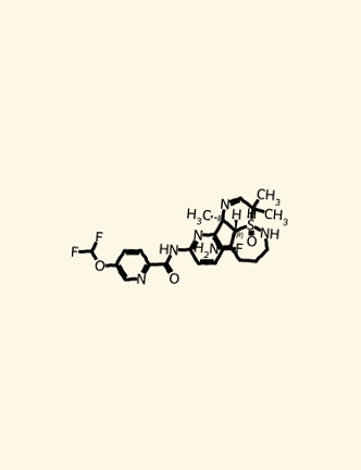 CC1(C)C=N[C@](C)(c2nc(NC(=O)c3ccc(OC(F)F)cn3)ccc2F)[C@H]2C(N)CCCN[SH]21=O